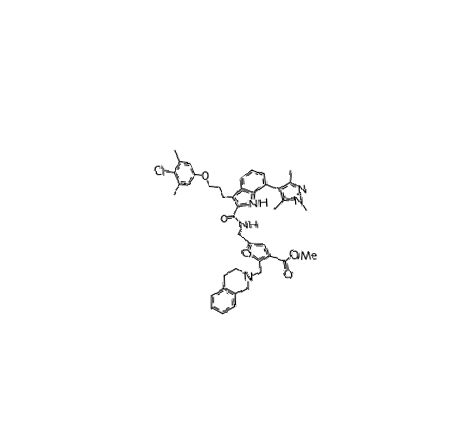 COC(=O)c1cc(CNC(=O)c2[nH]c3c(-c4c(C)nn(C)c4C)cccc3c2CCCOc2cc(C)c(Cl)c(C)c2)oc1CN1CCc2ccccc2C1